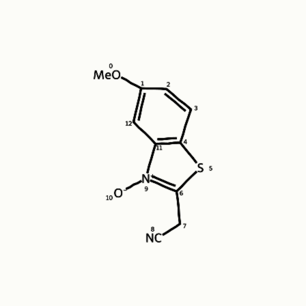 COc1ccc2sc(CC#N)[n+]([O-])c2c1